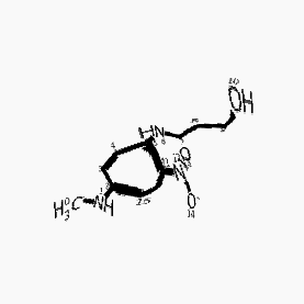 CNc1ccc(NCCCO)c([N+](=O)[O-])c1